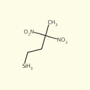 CC(CC[SiH3])([N+](=O)[O-])[N+](=O)[O-]